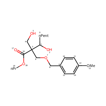 CCCCCC(O)C(CO)(COCc1ccc(OC)cc1)C(=O)OCCC